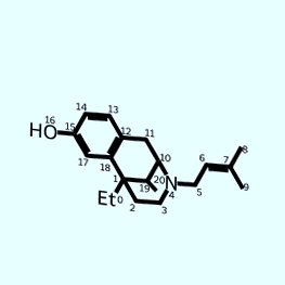 CCC12CCN(CC=C(C)C)C(Cc3ccc(O)cc31)C2C